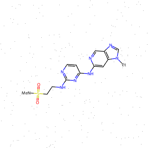 CCn1cnc2cnc(Nc3ccnc(NCCS(=O)(=O)NC)n3)cc21